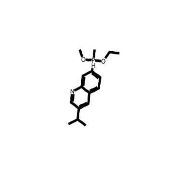 CCO[PH](C)(OC)c1ccc2cc(C(C)C)cnc2c1